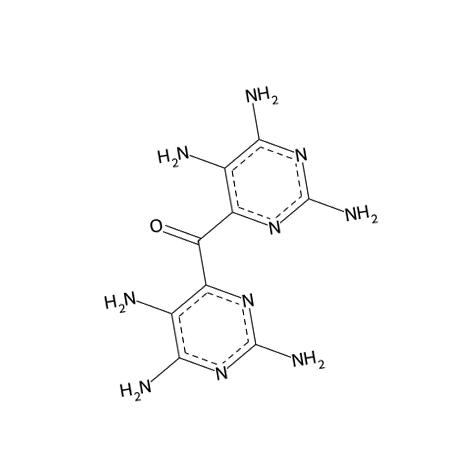 Nc1nc(N)c(N)c(C(=O)c2nc(N)nc(N)c2N)n1